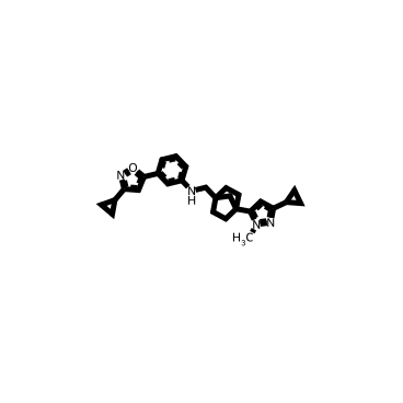 Cn1nc(C2CC2)cc1C12CCC(CNc3cccc(-c4cc(C5CC5)no4)c3)(CC1)C2